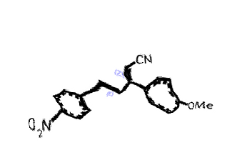 COc1ccc(C(=C\C#N)/C=C/c2ccc([N+](=O)[O-])cc2)cc1